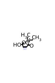 CCN(CC)OC(=O)/C=C\C(=O)O